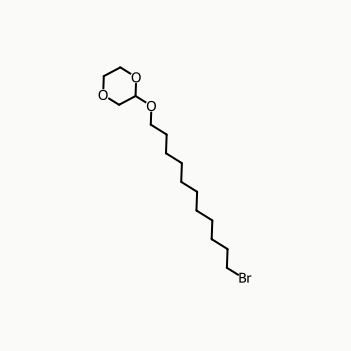 BrCCCCCCCCCCCOC1COCCO1